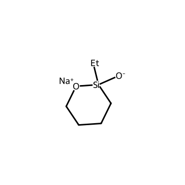 CC[Si]1([O-])CCCCO1.[Na+]